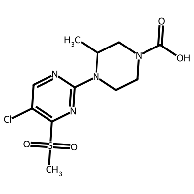 CC1CN(C(=O)O)CCN1c1ncc(Cl)c(S(C)(=O)=O)n1